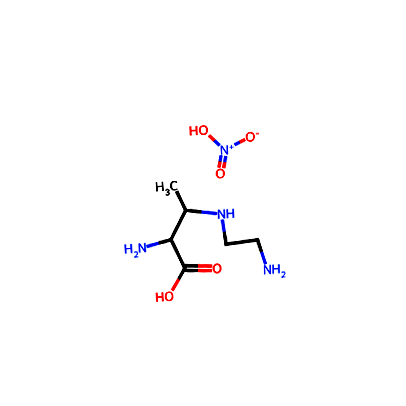 CC(NCCN)C(N)C(=O)O.O=[N+]([O-])O